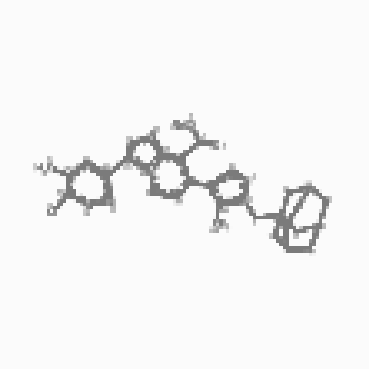 COC(=O)c1c(-c2cnn(CC34CC5CC(CC(C5)C3)C4)c2C)ccn2c(-c3cc(C)c(Cl)nn3)cnc12